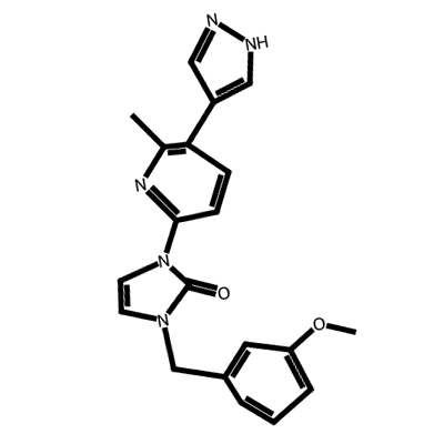 COc1cccc(Cn2ccn(-c3ccc(-c4cn[nH]c4)c(C)n3)c2=O)c1